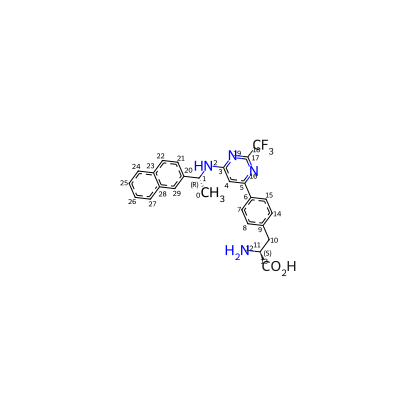 C[C@@H](Nc1cc(-c2ccc(C[C@H](N)C(=O)O)cc2)nc(C(F)(F)F)n1)c1ccc2ccccc2c1